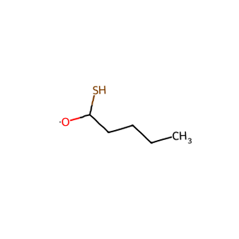 CCCCC([O])S